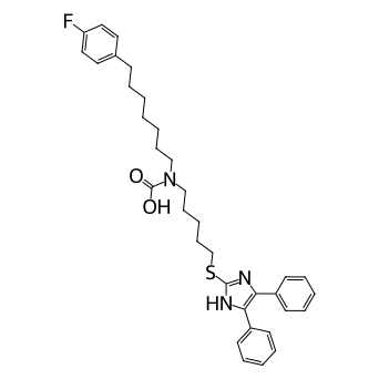 O=C(O)N(CCCCCCCc1ccc(F)cc1)CCCCCSc1nc(-c2ccccc2)c(-c2ccccc2)[nH]1